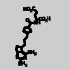 Nc1nc(N)c2c(n1)CCC2CCCc1ccc(C(=O)N[C@@H](CCC(=O)O)C(=O)O)s1